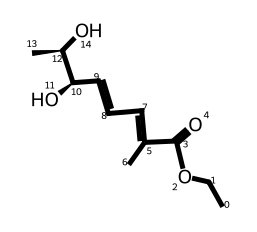 CCOC(=O)/C(C)=C/C=C/[C@@H](O)[C@@H](C)O